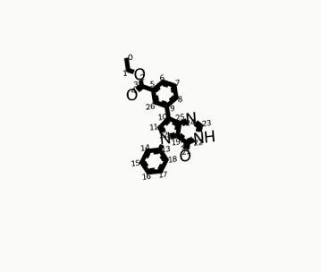 CCOC(=O)c1cccc(-c2cn(-c3ccccc3)c3c(=O)[nH]cnc23)c1